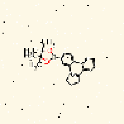 CC1(C)OB(c2ccc3c(c2)[C@]24CCC[C@]2(CCC4)c2ccccc2-3)OC1(C)C